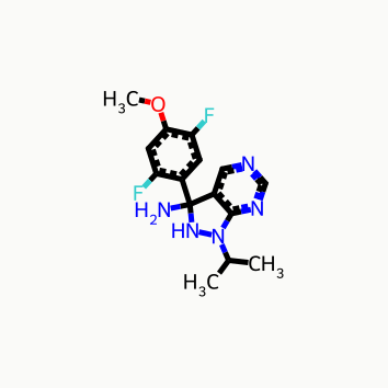 COc1cc(F)c(C2(N)NN(C(C)C)c3ncncc32)cc1F